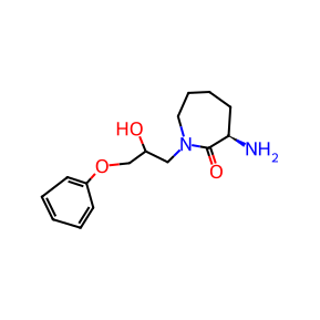 N[C@@H]1CCCCN(CC(O)COc2ccccc2)C1=O